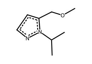 COCc1ccnn1C(C)C